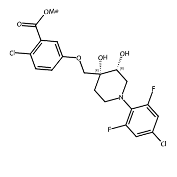 COC(=O)c1cc(OC[C@]2(O)CCN(c3c(F)cc(Cl)cc3F)C[C@H]2O)ccc1Cl